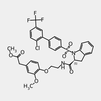 COC(=O)Cc1ccc(OCCNC(=O)[C@@H]2Cc3ccccc3N2S(=O)(=O)c2ccc(-c3cc(C(F)(F)F)ccc3Cl)cc2)c(OC)c1